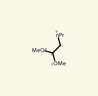 CCCC[C](OC)OC